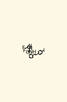 Cn1cc(C(F)F)c(C(=O)Nc2ccccc2C=Cc2ccc(I)cc2)n1